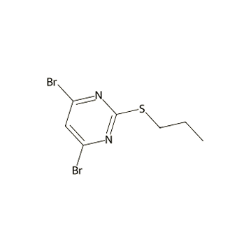 CCCSc1nc(Br)cc(Br)n1